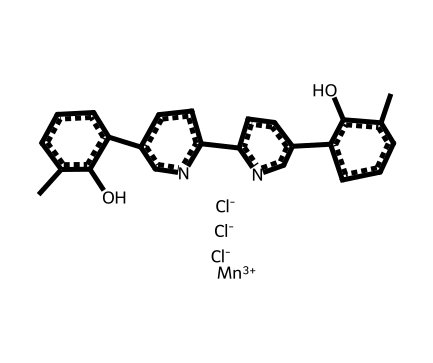 Cc1cccc(-c2ccc(-c3ccc(-c4cccc(C)c4O)cn3)nc2)c1O.[Cl-].[Cl-].[Cl-].[Mn+3]